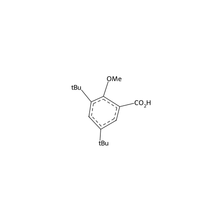 COc1c(C(=O)O)cc(C(C)(C)C)cc1C(C)(C)C